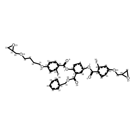 O=C(Oc1ccc(OC(=O)c2ccc(OCCCCOCC3CO3)cc2F)c(C(=O)OCc2ccccc2)c1)c1ccc(OCC2CO2)cc1F